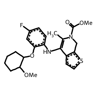 COC(=O)N1Cc2sccc2C(Nc2ccc(F)cc2OC2CCCCC2OC)=C1C